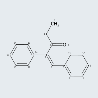 CCC(=O)C(=Cc1ccccc1)c1ccccc1